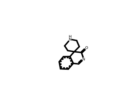 O=C1N=Cc2ccccc2C12CCNCC2